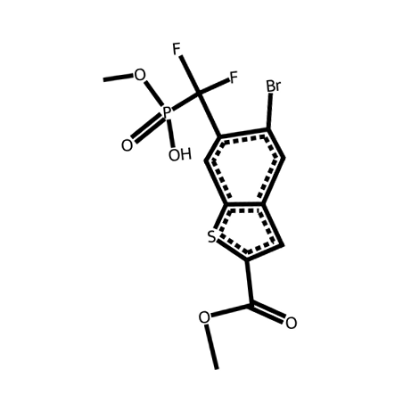 COC(=O)c1cc2cc(Br)c(C(F)(F)P(=O)(O)OC)cc2s1